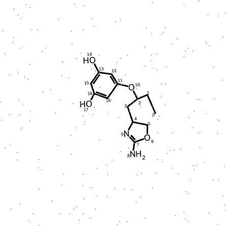 CCC(CC1COC(N)=N1)Oc1cc(O)cc(O)c1